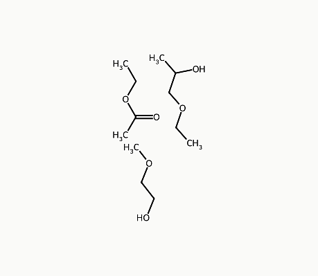 CCOC(C)=O.CCOCC(C)O.COCCO